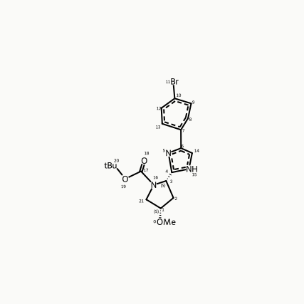 CO[C@H]1C[C@@H](c2nc(-c3ccc(Br)cc3)c[nH]2)N(C(=O)OC(C)(C)C)C1